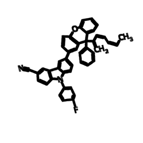 C=C(/C=C\C=C/C)C1(c2ccccc2)c2ccccc2Oc2ccc(-c3ccc4c(c3)c3cc(C#N)ccc3n4-c3ccc(F)cc3)cc21